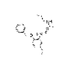 CCCNCC.CCc1ccc(OCc2ccccc2)c(NC=O)c1